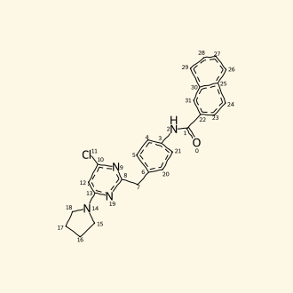 O=C(Nc1ccc(Cc2nc(Cl)[c]c(N3CCCC3)n2)cc1)c1ccc2ccccc2c1